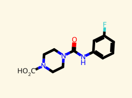 O=C(O)N1CCN(C(=O)Nc2cccc(F)c2)CC1